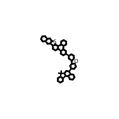 CC1(C)c2ccccc2-c2c1cc(-c1ccc3oc4ccc(-c5ccc6c(c5)c5ccccc5c5c6ccc6c7cc8ccccc8cc7sc65)cc4c3c1)c1ccccc21